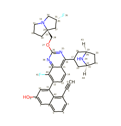 C#Cc1cccc2cc(O)cc(-c3ccc4c(C5C[C@H]6CC[C@@H](C5)N6)nc(OC[C@@]56CCCN5C[C@H](F)C6)nc4c3F)c12